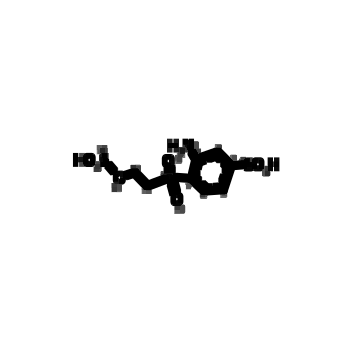 Nc1cc(S(=O)(=O)O)ccc1S(=O)(=O)CCOS(=O)(=O)O